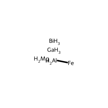 [AlH2][Fe].[BiH3].[GaH3].[MgH2]